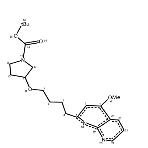 COc1cc(CCCCOC2CCN(C(=O)OC(C)(C)C)C2)nc2ncccc12